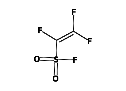 O=S(=O)(F)C(F)=C(F)F